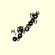 Nc1ncnc2c1c(-c1ccc(Oc3ccccc3)cc1)nn2C1CCCN(Cc2cc3c(cc2F)C(=O)N(C2CCC(=O)NC2=O)C3)C1